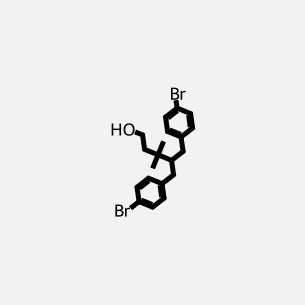 CC(C)(CCO)C(Cc1ccc(Br)cc1)Cc1ccc(Br)cc1